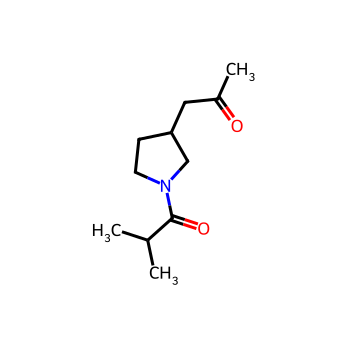 CC(=O)CC1CCN(C(=O)C(C)C)C1